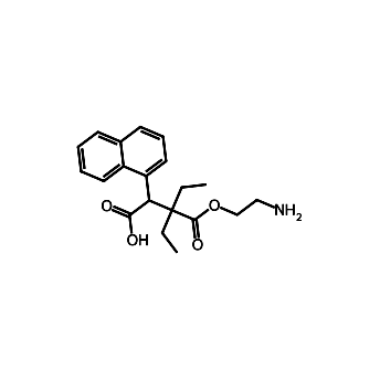 CCC(CC)(C(=O)OCCN)C(C(=O)O)c1cccc2ccccc12